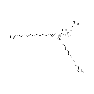 CCCCCCCCCCCCOC[C@H](COP(=O)(O)OCCN)OCCCCCCCCCCCC